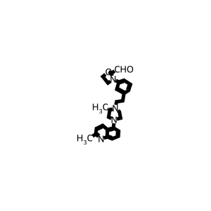 Cc1ccc2c(N3CCN(CCc4cccc(N5CCOC5C=O)c4)[C@@H](C)C3)cccc2n1